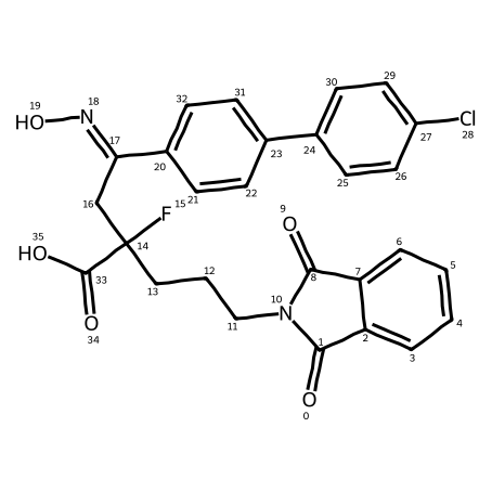 O=C1c2ccccc2C(=O)N1CCCC(F)(C/C(=N\O)c1ccc(-c2ccc(Cl)cc2)cc1)C(=O)O